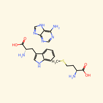 CSCC[C@H](N)C(=O)O.N[C@@H](Cc1c[nH]c2ccccc12)C(=O)O.Nc1ncnc2nc[nH]c12